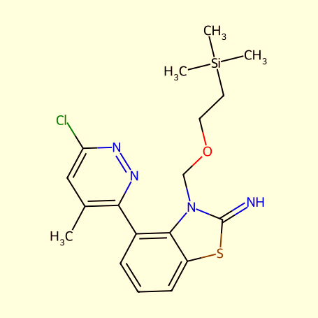 Cc1cc(Cl)nnc1-c1cccc2sc(=N)n(COCC[Si](C)(C)C)c12